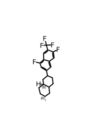 C[C@@H]1CC[C@@H]2CC(c3cc(F)c4cc(C(F)(F)F)c(F)cc4c3)CCC2C1